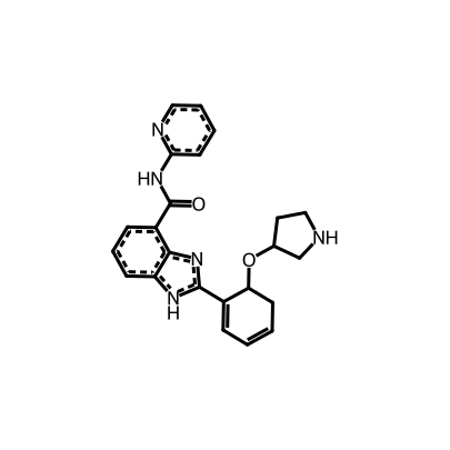 O=C(Nc1ccccn1)c1cccc2[nH]c(C3=CC=CCC3OC3CCNC3)nc12